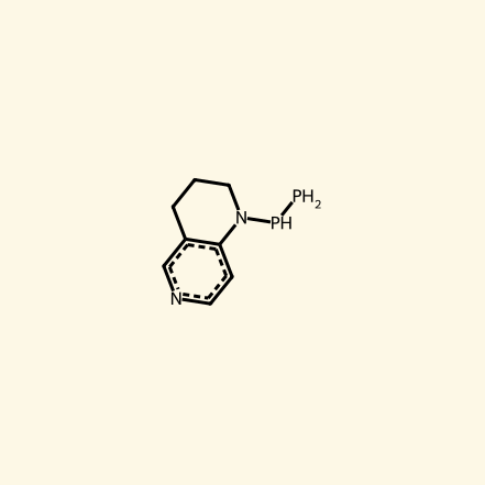 PPN1CCCc2cnccc21